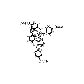 COc1ccc(CN(Cc2ccc(OC)cc2)S(=O)(=O)c2c(Br)ccc(I)c2-c2nnnn2Cc2ccc(OC)cc2)cc1